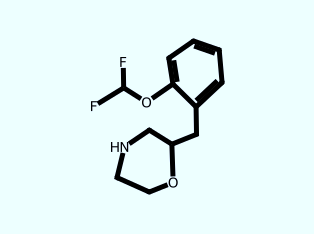 FC(F)Oc1ccccc1CC1CNCCO1